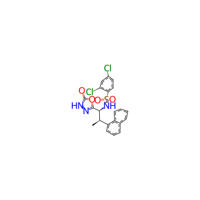 C[C@H](c1cccc2ccccc12)[C@H](NS(=O)(=O)c1ccc(Cl)cc1Cl)c1n[nH]c(=O)o1